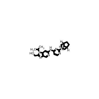 CC(C)n1c(CO)nc2cnc(Nc3ccnc(N4C[C@H]5CC[C@@H](C4)[C@@H]5O)n3)cc21